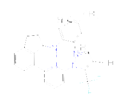 C=C(C)/C=C(C)\C(=C/C)NC1CCc2cccc(-c3cccc(-n4ncc(C)c4C(F)(F)F)n3)c21